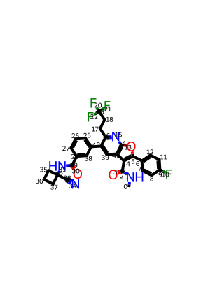 CNC(=O)c1c(-c2ccc(F)cc2)oc2nc(CCC(F)(F)F)c(-c3cccc(C(=O)NC4(C#N)CCC4)c3)cc12